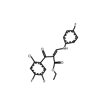 CCOC(=O)C(=CNc1ccc(F)cc1)C(=O)c1cc(F)c(F)cc1Cl